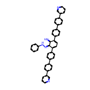 N=C1C(c2ccc(-c3ccc(-c4cccnc4)cc3)cc2)=CC=C(c2ccc(-c3ccc(-c4cccnc4)cc3)cc2)/C1=N/Nc1ccccc1